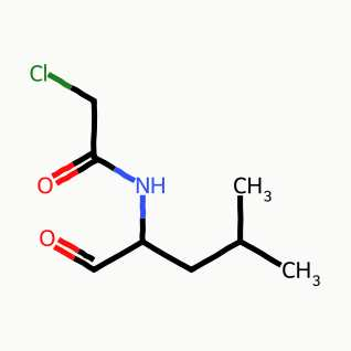 CC(C)CC(C=O)NC(=O)CCl